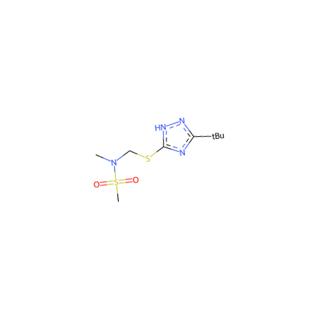 CN(CSc1nc(C(C)(C)C)n[nH]1)S(C)(=O)=O